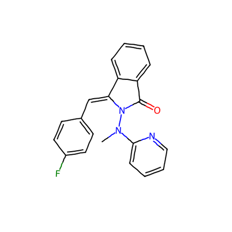 CN(c1ccccn1)N1C(=O)c2ccccc2/C1=C/c1ccc(F)cc1